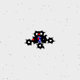 Cc1cccc(N(c2ccccc2)C2(N(c3cccc(C)c3)C3(N(c4ccccc4)c4cccc(C)c4)C=CC(c4ccccc4)C=C3)C=CC(c3ccccc3)C=C2)c1